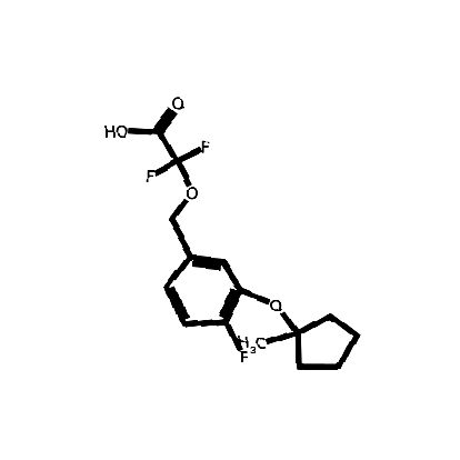 CC1(Oc2cc(COC(F)(F)C(=O)O)ccc2F)CCCC1